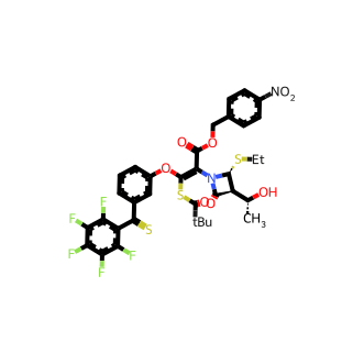 CCS[C@@H]1[C@@H]([C@@H](C)O)C(=O)N1C(C(=O)OCc1ccc([N+](=O)[O-])cc1)=C(Oc1cccc(C(=S)c2c(F)c(F)c(F)c(F)c2F)c1)SC(=O)C(C)(C)C